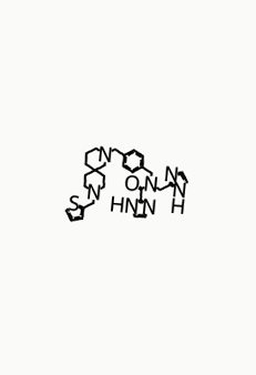 O=C(c1ncc[nH]1)N(Cc1ccc(CN2CCCC3(CCN(Cc4cccs4)CC3)C2)cc1)Cc1ncc[nH]1